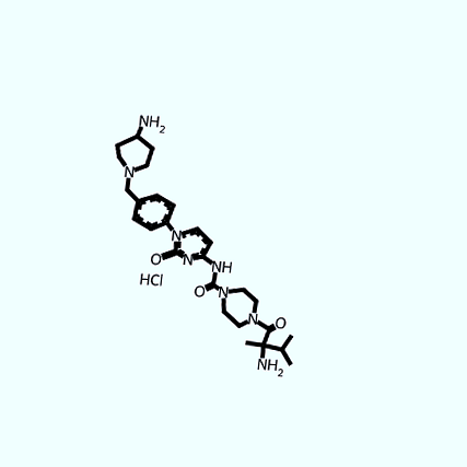 CC(C)C(C)(N)C(=O)N1CCN(C(=O)Nc2ccn(-c3ccc(CN4CCC(N)CC4)cc3)c(=O)n2)CC1.Cl